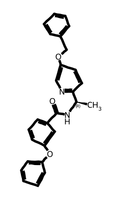 C[C@@H](NC(=O)c1cccc(Oc2ccccc2)c1)c1ccc(OCc2ccccc2)cn1